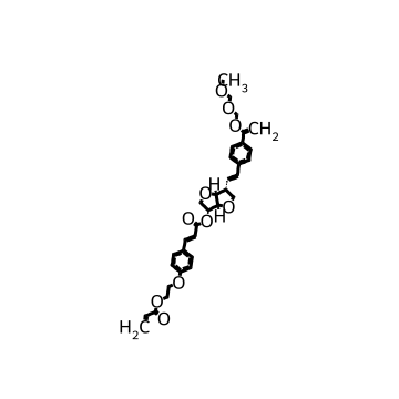 C=CC(=O)OCCOc1ccc(/C=C/C(=O)O[C@@H]2CO[C@H]3[C@@H]2OC[C@H]3C=Cc2ccc(C(=C)OCOCOC)cc2)cc1